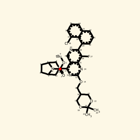 CC(C)(C)OC(=O)N1C2CCC1CN(c1nc(OCC3COC(C)(C)OC3)nc3c(F)c(-c4cccc5cccc(Cl)c45)ncc13)C2